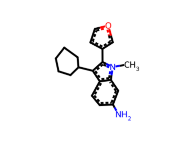 Cn1c(-c2ccoc2)c(C2CCCCC2)c2ccc(N)cc21